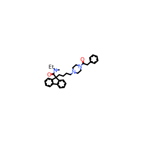 CCN(C)C(=O)C1(CCCCN2CCN(C(=O)Cc3ccccc3)CC2)c2ccccc2-c2ccccc21